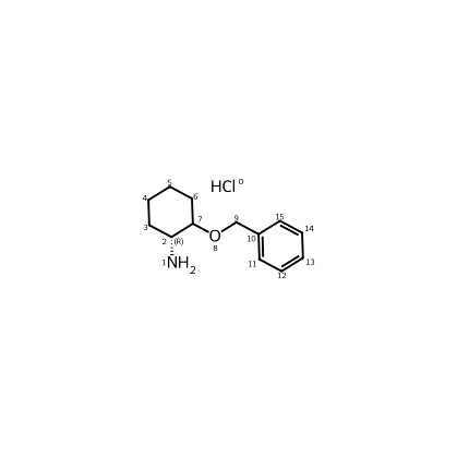 Cl.N[C@@H]1CCCCC1OCc1ccccc1